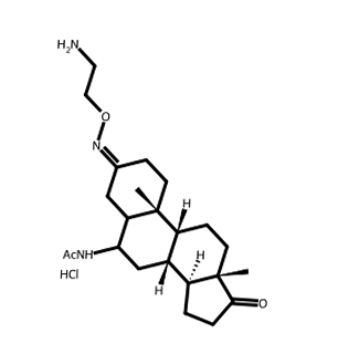 CC(=O)NC1C[C@@H]2[C@@H](CC[C@]3(C)C(=O)CC[C@@H]23)[C@@]2(C)CCC(=NOCCN)CC12.Cl